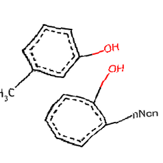 CCCCCCCCCc1ccccc1O.Cc1cccc(O)c1